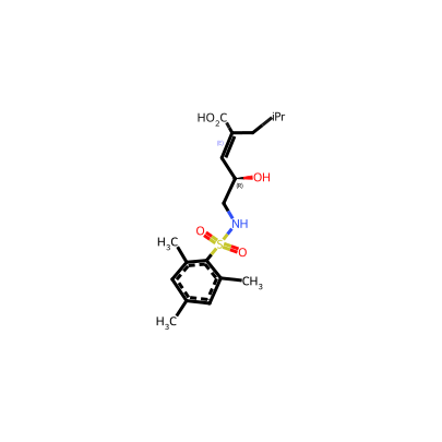 Cc1cc(C)c(S(=O)(=O)NC[C@H](O)/C=C(\CC(C)C)C(=O)O)c(C)c1